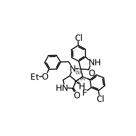 CCOc1cccc(CN2C3CNC(=O)[C@H]3[C@H](c3cccc(Cl)c3F)[C@]23C(=O)Nc2cc(Cl)ccc23)c1